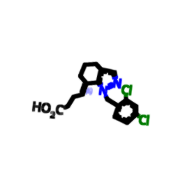 O=C(O)CC/C=C1\CCCc2cnn(Cc3ccc(Cl)cc3Cl)c21